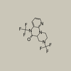 O=C1C2CN(C(F)(F)F)CCN2c2ncccc2N1C(F)(F)F